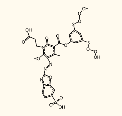 Cc1c(N=Nc2nc3ccc(S(=O)(=O)O)cc3o2)c(O)n(CCC(=O)O)c(=O)c1C(=O)Oc1cc(SOOO)cc(SOOO)c1